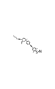 CCCCC#CC1C=C[C@](C)(c2ccc(C#Cc3cc(C)c(SC#N)c(C)c3)cc2)CC1I